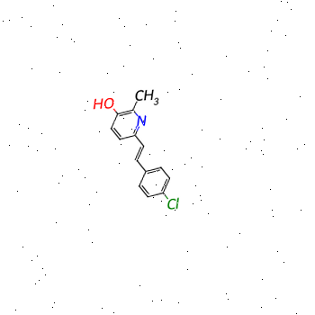 Cc1nc(/C=C/c2ccc(Cl)cc2)ccc1O